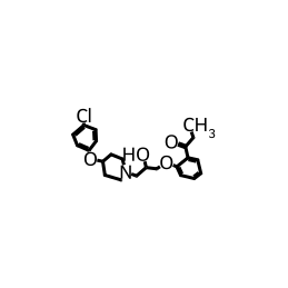 CCC(=O)c1ccccc1OCC(O)CN1CCC(Oc2ccc(Cl)cc2)CC1